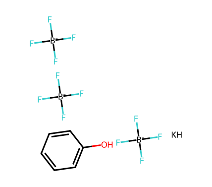 F[B-](F)(F)F.F[B-](F)(F)F.F[B-](F)(F)F.Oc1ccccc1.[KH]